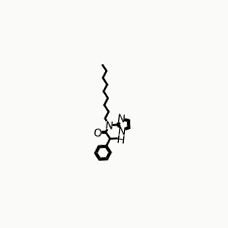 CCCCCCCCCN(C(=O)C(C)c1ccccc1)c1ncc[nH]1